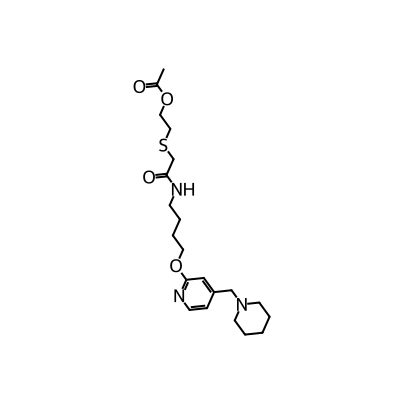 CC(=O)OCCSCC(=O)NCCCCOc1cc(CN2CCCCC2)ccn1